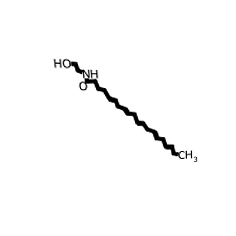 CCC=CCC=CCC=CCC=CCC=CCCCC(=O)NCCO